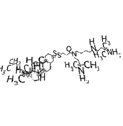 CC(C)CCC[C@@H](C)[C@H]1CC[C@H]2[C@@H]3CC=C4C[C@@H](SSCCC(=O)N(CCCCNCCC(C)(C)N)CCC(C)(C)N)CC[C@]4(C)C3CC[C@]12C